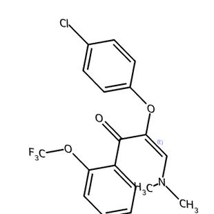 CN(C)/C=C(/Oc1ccc(Cl)cc1)C(=O)c1ccccc1OC(F)(F)F